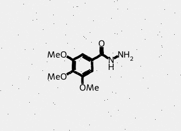 COc1cc(C(=O)NN)cc(OC)c1OC